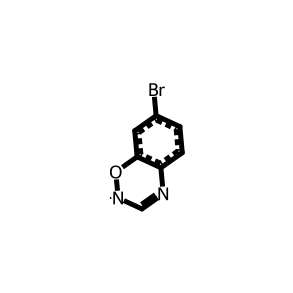 Brc1ccc2c(c1)O[N]C=N2